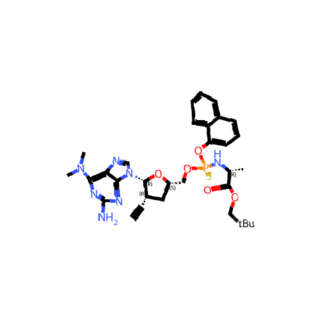 C#C[C@H]1C[C@@H](COP(=S)(N[C@H](C)C(=O)OCC(C)(C)C)Oc2cccc3ccccc23)O[C@H]1n1cnc2c(N(C)C)nc(N)nc21